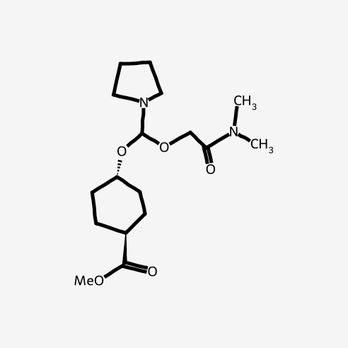 COC(=O)[C@H]1CC[C@H](OC(OCC(=O)N(C)C)N2CCCC2)CC1